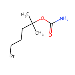 CC(C)CCCC(C)(C)OC(N)=O